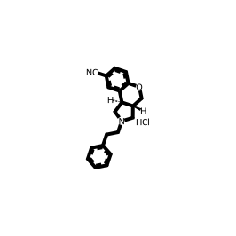 Cl.N#Cc1ccc2c(c1)[C@@H]1CN(CCc3ccccc3)C[C@H]1CO2